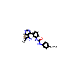 COc1ccc(NC(=O)Nc2cccc(-c3ncnc4sc(C(C)=O)c(N)c34)c2)cc1